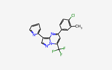 Cc1cc(-c2cc(C(F)(F)F)n3ncc(-c4ccccn4)c3n2)ccc1Cl